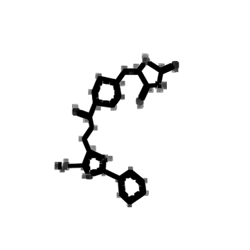 Cc1oc(-c2ccccc2)nc1CCC(=O)c1ccc(C=C2OC(=O)NC2=O)cc1